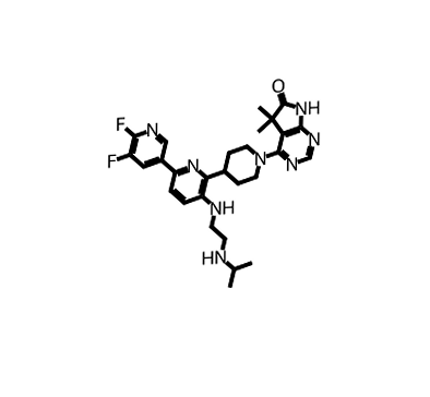 CC(C)NCCNc1ccc(-c2cnc(F)c(F)c2)nc1C1CCN(c2ncnc3c2C(C)(C)C(=O)N3)CC1